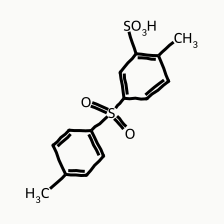 Cc1ccc(S(=O)(=O)c2ccc(C)c(S(=O)(=O)O)c2)cc1